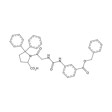 O=C(NCC(=O)N1C(C(=O)O)CCC1(c1ccccc1)c1ccccc1)Nc1cccc(C(=O)OCc2ccccc2)c1